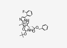 C[C@H](NC(=O)[C@H](CC(=O)OCc1ccccc1)NC(=O)OC(C)(C)C)c1ncc(-c2ccccc2F)[nH]1